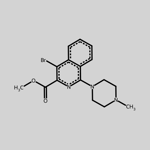 COC(=O)c1nc(N2CCN(C)CC2)c2ccccc2c1Br